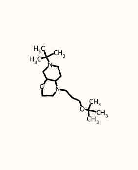 CC(C)(C)OCCCN1CCOC2CN(C(C)(C)C)CCC21